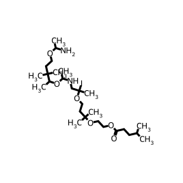 CC(C)CCC(=O)OCCOC(C)(C)CCOC(C)(I)CNC(C)OC(C)C(C)(C)CCOC(C)N